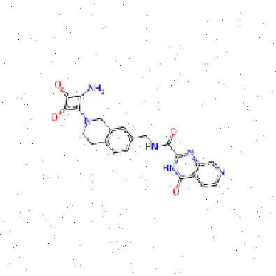 Nc1c(N2CCc3ccc(CNC(=O)c4nc5cnccc5c(=O)[nH]4)cc3C2)c(=O)c1=O